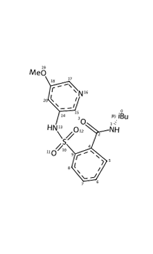 CC[C@@H](C)NC(=O)c1ccccc1S(=O)(=O)Nc1cncc(OC)c1